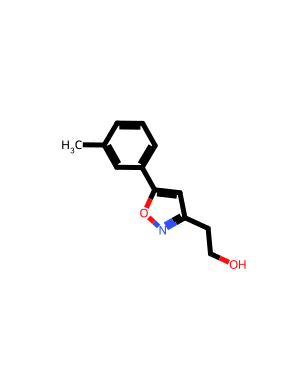 Cc1cccc(-c2cc(CCO)no2)c1